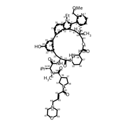 CCn1c(-c2cccnc2COC)c2c3cc(ccc31)-c1cc(O)cc(c1)C[C@H](NC(=O)[C@H](C(C)C)N(C)C(=O)[C@H]1CCN(C(=O)/C=C/CN3CCOCC3)C1)C(=O)N1CCC[C@H](N1)C(=O)OCC(C)(C)C2